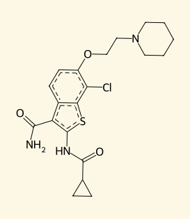 NC(=O)c1c(NC(=O)C2CC2)sc2c(Cl)c(OCCN3CCCCC3)ccc12